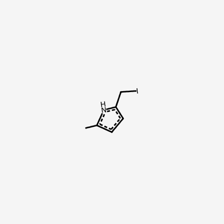 Cc1ccc(CI)[nH]1